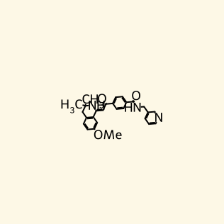 COc1ccc2c(c1)/C(=C/C(=O)c1ccc(C(=O)NCc3cccnc3)cc1)NC(C)(C)C2